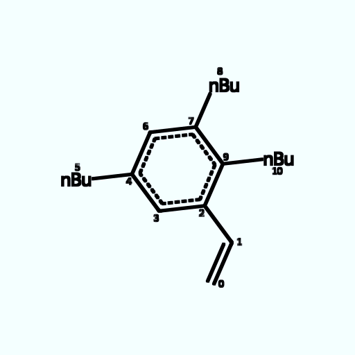 C=Cc1cc(CCCC)cc(CCCC)c1CCCC